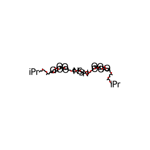 Cc1c(C)c2c(c(C)c1OC(=O)CCC(=O)OCCCCC1CCN(CCSSCCN3CCC(CCCCOC(=O)CCC(=O)Oc4c(C)c(C)c5c(c4C)CCC(C)(CCCC(C)CCCC(C)CCCC(C)C)O5)CC3)CC1)CCC(C)(CCCC(C)CCCC(C)CCCC(C)C)O2